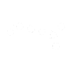 C[Si]1(C)c2ccccc2-c2cc(-c3ccc(-c4ccc(-c5nc(-c6ccccc6)nc(-c6ccccc6)n5)cc4)cc3)ccc21